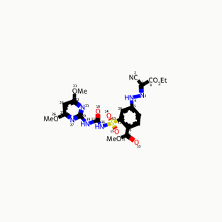 CCOC(=O)C(C#N)=NNc1ccc(C(=O)OC)c(S(=O)(=O)NC(=O)Nc2nc(OC)cc(OC)n2)c1